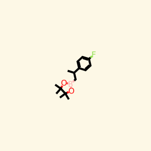 CC(CB1OC(C)(C)C(C)(C)O1)c1ccc(F)cc1